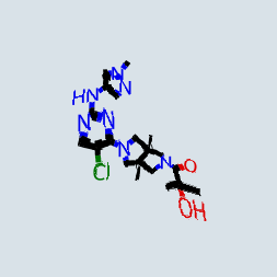 Cn1cc(Nc2ncc(Cl)c(N3C[C@]4(C)CN(C(=O)C(C)(C)O)C[C@]4(C)C3)n2)cn1